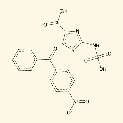 O=C(O)c1csc(NS(=O)(=O)O)n1.O=C(c1ccccc1)c1ccc([N+](=O)[O-])cc1